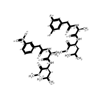 COC(=O)[C@H](CC(C)C)NC(=O)[C@H](C)NC(=O)Cc1cc(F)cc(F)c1.COC(=O)[C@H](CC(C)C)NC(=O)[C@H](C)NC(=O)Cc1cccc([N+](=O)[O-])c1